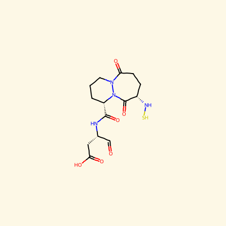 O=C[C@H](CC(=O)O)NC(=O)[C@@H]1CCCN2C(=O)CC[C@H](NS)C(=O)N12